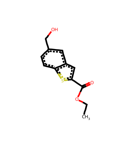 CCOC(=O)c1cc2cc(CO)ccc2s1